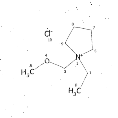 CC[N+]1(COC)CCCC1.[Cl-]